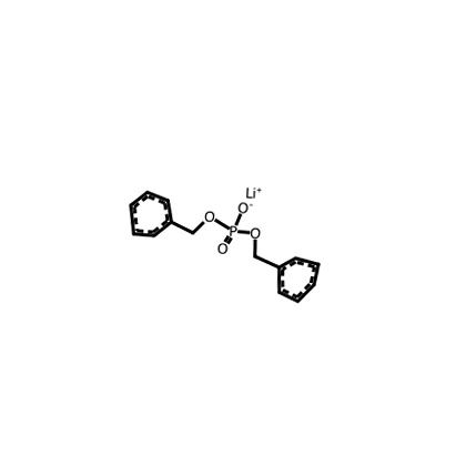 O=P([O-])(OCc1ccccc1)OCc1ccccc1.[Li+]